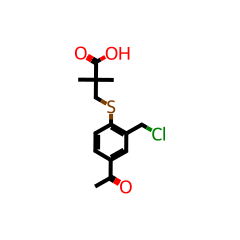 CC(=O)c1ccc(SCC(C)(C)C(=O)O)c(CCl)c1